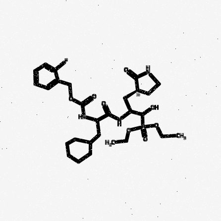 CCOP(=O)(OCC)C(O)C(C[C@@H]1CCNC1=O)NC(=O)C(CC1CCCCC1)NC(=O)OCc1ccccc1F